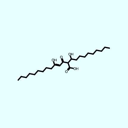 CCCCCCCCCC(O)=CC(=O)C(C(=O)O)C(O)CCCCCCCCC